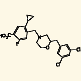 O=C(O)c1cc(C2CC2)c(CN2CCOC(Cc3cc(Cl)cc(Cl)c3)C2)cc1F